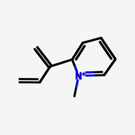 C=CC(=C)c1cccc[n+]1C